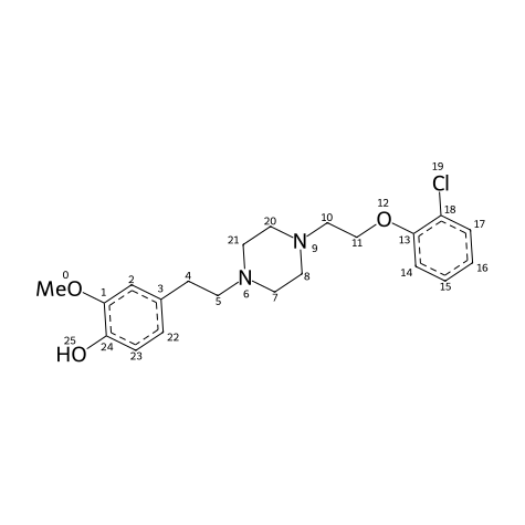 COc1cc(CCN2CCN(CCOc3ccccc3Cl)CC2)ccc1O